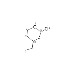 CCN1CCOC(Cl)C1